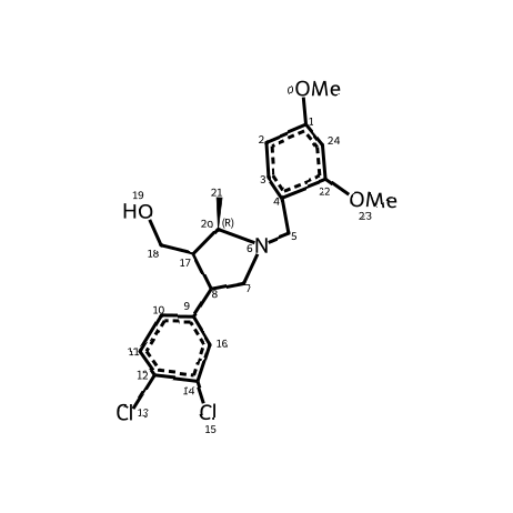 COc1ccc(CN2CC(c3ccc(Cl)c(Cl)c3)C(CO)[C@H]2C)c(OC)c1